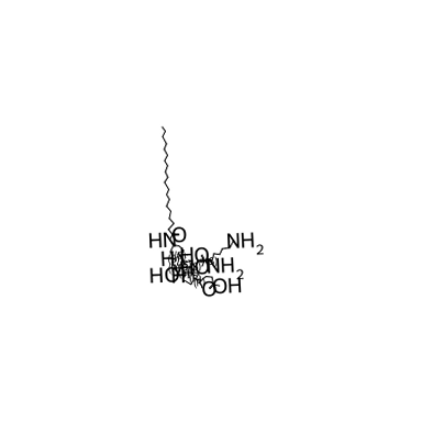 CCCCCCCCCCCCCCCCCCCC(=O)NC1CC[C@@]2(C)[C@@H](C1)C[C@@H](O)[C@@H]1[C@@H]2C[C@H](OC(=O)[C@@H](N)CCCCN)[C@]2(C)[C@@H]([C@H](C)CCC(=O)O)CC[C@@H]12